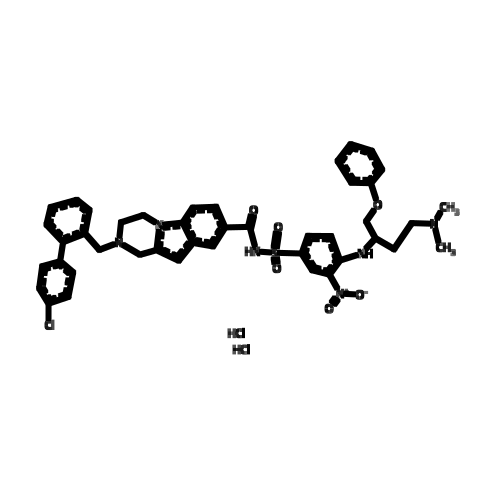 CN(C)CCC(COc1ccccc1)Nc1ccc(S(=O)(=O)NC(=O)c2ccc3c(c2)cc2n3CCN(Cc3ccccc3-c3ccc(Cl)cc3)C2)cc1[N+](=O)[O-].Cl.Cl